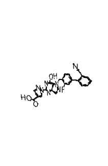 N#Cc1ccccc1-c1ccc(Cn2ncc3nc(-n4cc(C(=O)O)cn4)nc(O)c32)c(F)c1